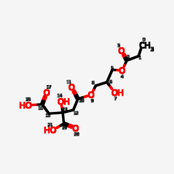 CCC(=O)OCC(O)COC(=O)CC(O)(CC(=O)O)C(=O)O